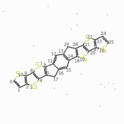 c1cc2sc3c4c(sc3c2s1)-c1cc2c(cc1C4)-c1sc3c(sc4ccsc43)c1C2